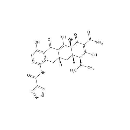 CN(C)[C@@H]1C(O)=C(C(N)=O)C(=O)[C@@]2(O)C(O)=C3C(=O)c4c(O)ccc(NC(=O)c5ccno5)c4C[C@H]3C[C@@H]12